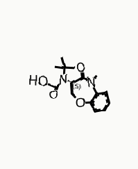 CN1C(=O)[C@@H](N(C(=O)O)C(C)(C)C)COc2ccccc21